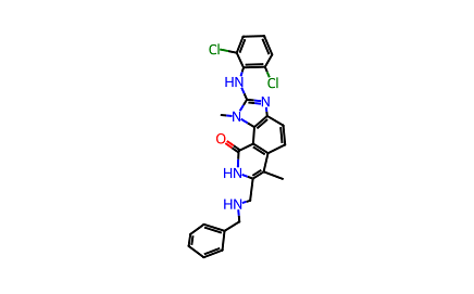 Cc1c(CNCc2ccccc2)[nH]c(=O)c2c1ccc1nc(Nc3c(Cl)cccc3Cl)n(C)c12